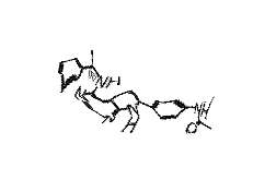 CC(=O)Nc1ccc(-c2cc3c(N[C@H](C)c4ccccc4)ncnc3[nH]2)cc1